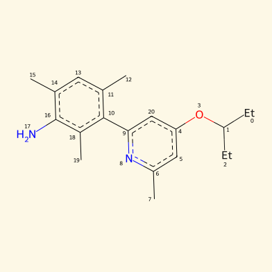 CCC(CC)Oc1cc(C)nc(-c2c(C)cc(C)c(N)c2C)c1